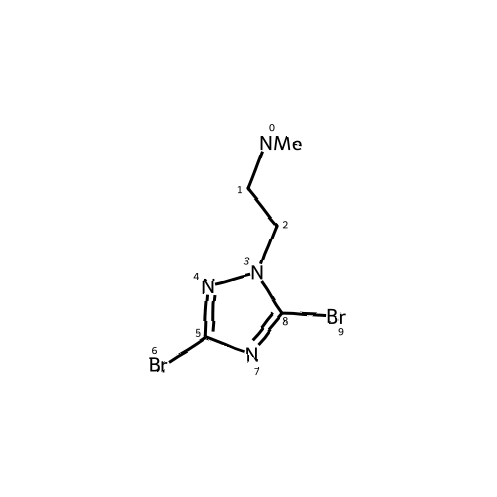 CNCCn1nc(Br)nc1Br